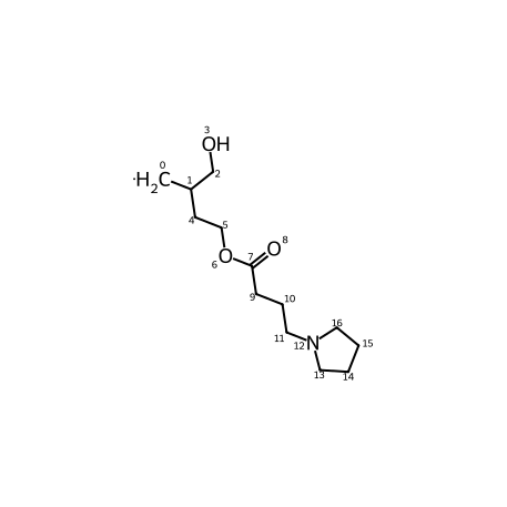 [CH2]C(CO)CCOC(=O)CCCN1CCCC1